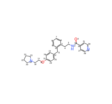 O=C(NCCc1ccc[c]c1Cc1ccc(OCCN2CCCC2)cc1)c1ccncc1